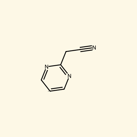 N#CCc1nc[c]cn1